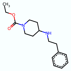 CCOC(=O)N1CCC(NCCc2ccccc2)CC1